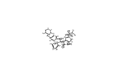 CC1CCCC(C)N1Cc1ccc(NC(=C2C(=O)Nc3ccc(NS(=O)(=O)C(C)C)cc32)c2ccccc2)cc1